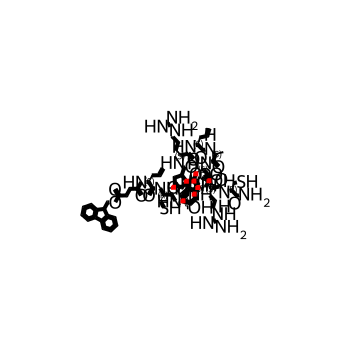 C=CC[C@H](NC(=O)CCC(=O)OCC1c2ccccc2-c2ccccc21)C(=O)N[C@@H](CS)C(=O)N[C@@H](CO)C(=O)N[C@@H](CC(=O)O)C(=O)N1CCCC1C(=O)N[C@@H](CCCNC(=N)N)C(=O)N[C@@H](CC=C)C(=O)N[C@@H](C)C(=O)N[C@@H](Cc1cc2ccccc2[nH]1)C(=O)N[C@@H](CCCNC(=N)N)C(=O)N[C@@H](CS)C(N)=O